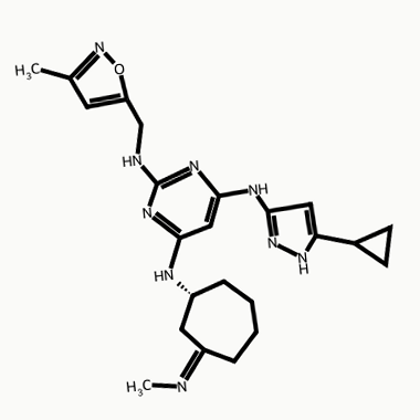 C/N=C1/CCCC[C@@H](Nc2cc(Nc3cc(C4CC4)[nH]n3)nc(NCc3cc(C)no3)n2)C1